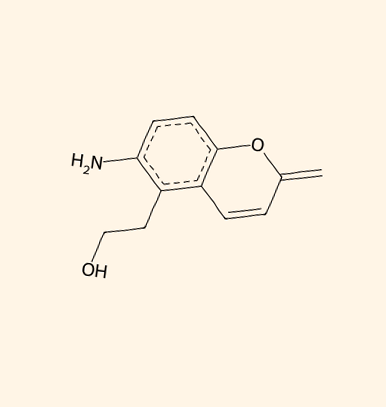 C=C1C=Cc2c(ccc(N)c2CCO)O1